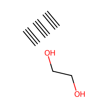 C#C.C#C.C#C.OCCO